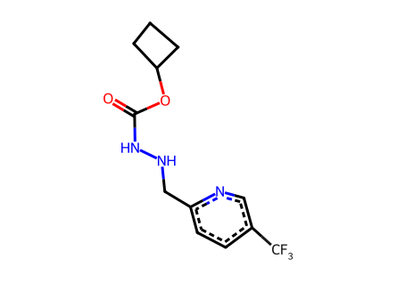 O=C(NNCc1ccc(C(F)(F)F)cn1)OC1CCC1